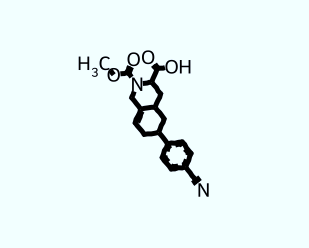 COC(=O)N1CC2=CCC(c3ccc(C#N)cc3)CC2CC1C(=O)O